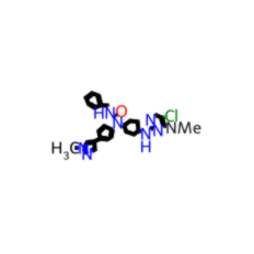 CNc1nc(NC2CCC(N(C(=O)NCc3ccccc3)c3ccc(-c4cnn(C)c4)cc3)CC2)ncc1Cl